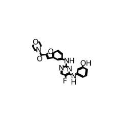 O=C(c1cc2cc(Nc3ncc(F)c(Nc4cccc(O)c4)n3)ccc2o1)N1CCOCC1